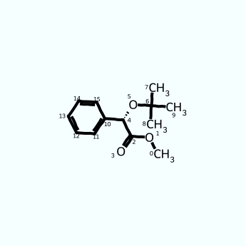 COC(=O)[C@@H](OC(C)(C)C)c1ccccc1